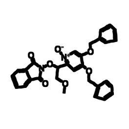 COCC(ON1C(=O)c2ccccc2C1=O)c1cc(OCc2ccccc2)c(OCc2ccccc2)c[n+]1[O-]